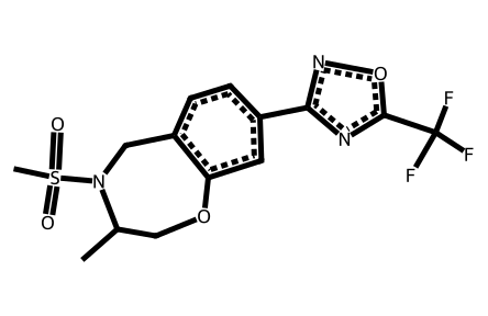 CC1COc2cc(-c3noc(C(F)(F)F)n3)ccc2CN1S(C)(=O)=O